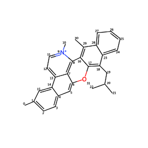 Cc1ccc2cc3c4c([n+](C)ccc4c2c1)-c1c(c(CC(C)C)c2ccccc2c1C)O3